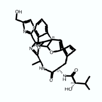 CC1NC(=O)[C@@H](NC(=O)[C@@H](O)C(C)C)Cc2ccc3c(c2)[C@@]2(c4ccccc4NC2O3)c2oc1nc2-c1nc(CO)co1